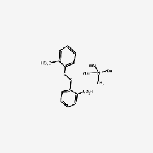 CCCC[N+](C)(CCCC)CCCC.O=C(O)c1ccccc1SSc1ccccc1C(=O)O